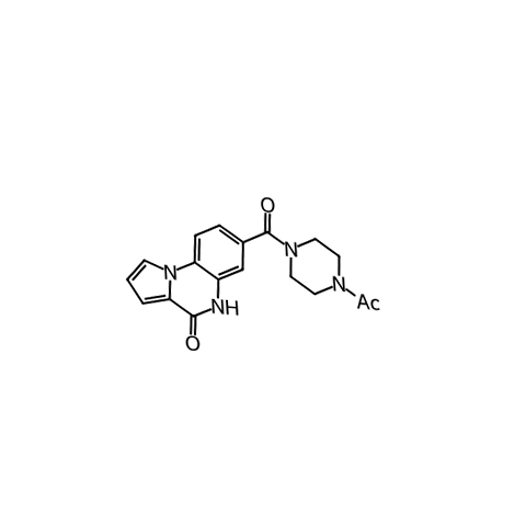 CC(=O)N1CCN(C(=O)c2ccc3c(c2)[nH]c(=O)c2cccn23)CC1